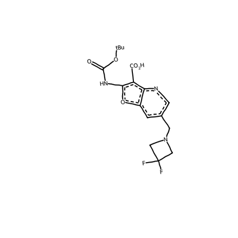 CC(C)(C)OC(=O)Nc1oc2cc(CN3CC(F)(F)C3)cnc2c1C(=O)O